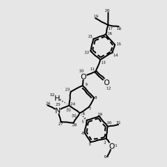 COc1ccc([C@@]23CC=C(OC(=O)c4ccc(C(C)(C)C)cc4)C[C@@H]2N(C)CC3)cc1C